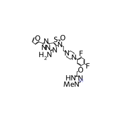 CN/C=N\C(=N)COc1cc(N2CCN(CCn3c(=O)sc4c3nc(N)n3nc(-c5ccco5)nc43)CC2)c(F)cc1F